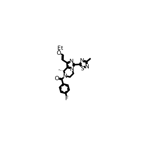 CCO/C=C/c1nc(-c2nc(C)ns2)n2c1[C@@H](C)N(C(=O)c1ccc(F)cc1)CC2